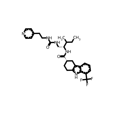 CCC(C)[C@@H](CNC(=O)NCCc1ccncc1)NC(=O)[C@H]1CCc2[nH]c3c(C(F)(F)F)cccc3c2C1